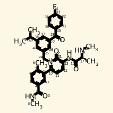 CNC(=O)c1ccc(C)c(-c2ccc(NC(=O)[C@H](C)NC)c(=O)n2Cc2cc(C(=O)c3ccc(F)cc3)cc(C(C)C)c2)c1